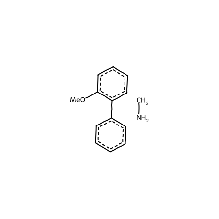 CN.COc1ccccc1-c1ccccc1